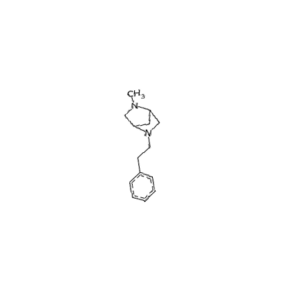 CN1CC2CC1CN2CCc1ccccc1